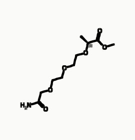 COC(=O)[C@H](C)OCCOCCOCC(N)=O